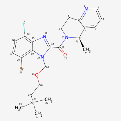 C[C@@H]1c2cccnc2CCN1C(=O)c1nc2c(F)ccc(Br)c2n1COCC[Si](C)(C)C